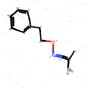 C/C(=N\OCCc1ccccc1)C(C)(C)C